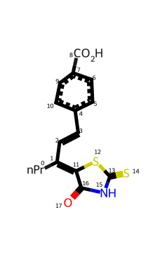 CCCC(C=Cc1ccc(C(=O)O)cc1)=C1SC(=S)NC1=O